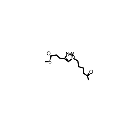 CSC(=O)CCc1cn(CCCCC(C)=O)nn1